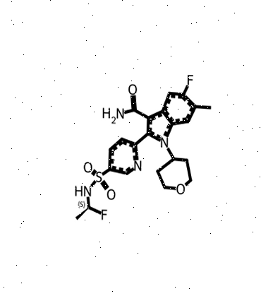 Cc1cc2c(cc1F)c(C(N)=O)c(-c1ccc(S(=O)(=O)N[C@H](C)F)cn1)n2C1CCOCC1